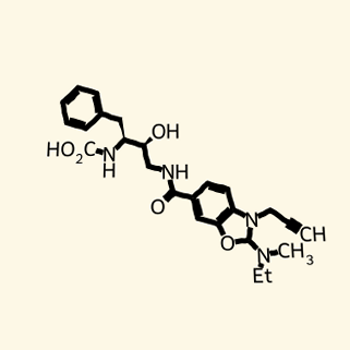 C#CCN1c2ccc(C(=O)NC[C@H](O)[C@H](Cc3ccccc3)NC(=O)O)cc2OC1N(C)CC